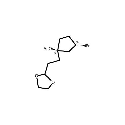 CC(=O)O[C@]1(CCC2OCCO2)CC[C@H](C(C)C)C1